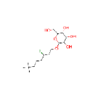 CC(C)(C)CCC[C@@H](F)CCO[C@H]1OC(CO)[C@H](O)C(O)C1O